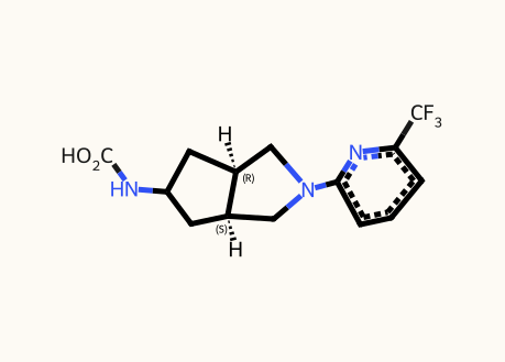 O=C(O)NC1C[C@@H]2CN(c3cccc(C(F)(F)F)n3)C[C@@H]2C1